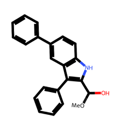 COC(O)c1[nH]c2ccc(-c3ccccc3)cc2c1-c1ccccc1